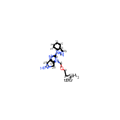 CC(C)(C)[SiH2]CCOCn1c(-n2ncc3ccccc32)nc2c1CNC2